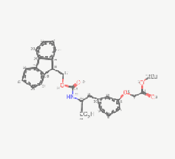 CC(C)(C)OC(=O)COc1cccc(CC(NC(=O)OCC2c3ccccc3-c3ccccc32)C(=O)O)c1